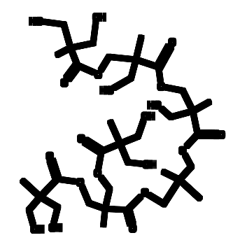 CC(C)(COC(=O)C(C)(CO)COC(=O)C(C)(CO)COC(=O)C(C)(CO)CO)COC(=O)C(C)(COC(=O)C(C)(CO)CO)COC(=O)C(C)(CO)CO